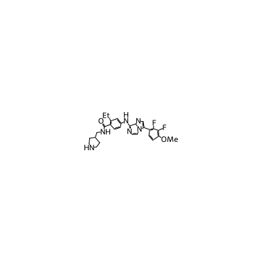 CCc1cc(Nc2nccn3c(-c4ccc(OC)c(F)c4F)cnc23)ccc1C(=O)NCC1CCNCC1